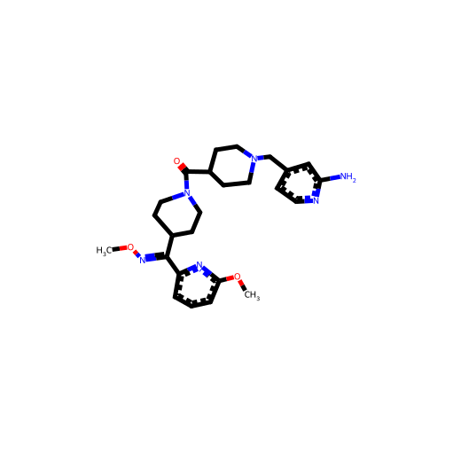 CON=C(c1cccc(OC)n1)C1CCN(C(=O)C2CCN(Cc3ccnc(N)c3)CC2)CC1